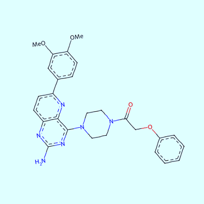 COc1ccc(-c2ccc3nc(N)nc(N4CCN(C(=O)COc5ccccc5)CC4)c3n2)cc1OC